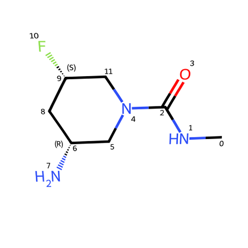 CNC(=O)N1C[C@H](N)C[C@H](F)C1